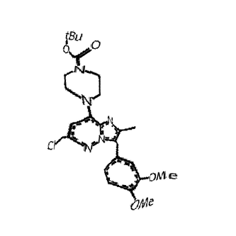 COc1ccc(-c2c(C)nc3c(N4CCN(C(=O)OC(C)(C)C)CC4)cc(Cl)nn23)cc1OC